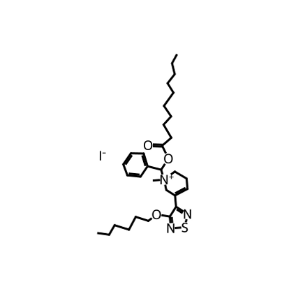 CCCCCCCCCC(=O)OC(c1ccccc1)[N+]1(C)CCC=C(c2nsnc2OCCCCCC)C1.[I-]